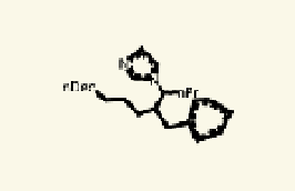 CCCCCCCCCCCCCC(Cc1ccccc1)C(CCC)n1ccnc1